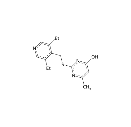 CCc1cncc(CC)c1CSc1nc(C)cc(O)n1